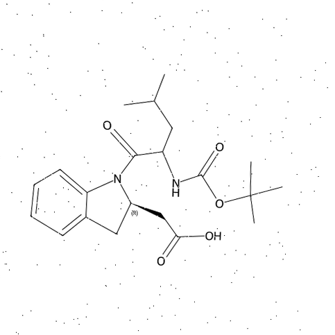 CC(C)CC(NC(=O)OC(C)(C)C)C(=O)N1c2ccccc2C[C@@H]1CC(=O)O